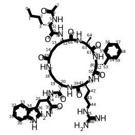 CCCC[C@H](NC(C)=O)C(=O)N[C@H]1CCC(=O)NCC[C@@H](C(=O)NC(Cc2c[nH]c3ccccc23)C(N)=O)NC(=O)[C@H](CCCNC(=N)N)NC(=O)[C@@H](Cc2ccccc2)NC(=O)[C@H](C)NC1=O